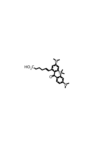 CN(C)c1ccc2c(c1)[Si](C)(C)c1cc(N(C)C)cc(/C=C/CCCC(=O)O)c1C2=O